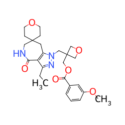 CCc1nn(CC2(COC(=O)c3cccc(OC)c3)COC2)c2c1C(=O)NCC1(CCOCC1)C2